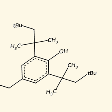 CC(C)(C)CC(C)(C)c1cc(CO)cc(C(C)(C)CC(C)(C)C)c1O